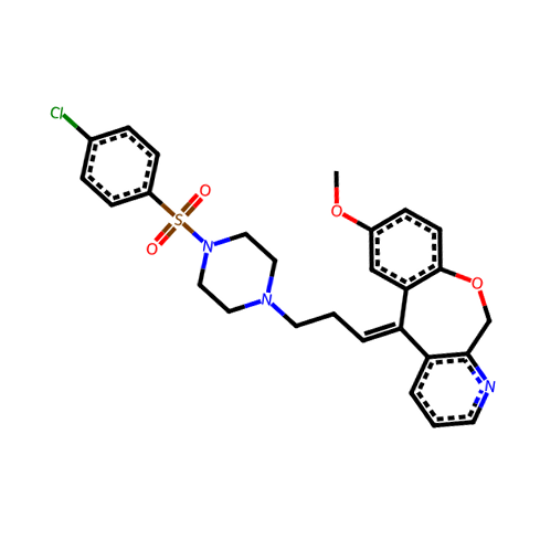 COc1ccc2c(c1)C(=CCCN1CCN(S(=O)(=O)c3ccc(Cl)cc3)CC1)c1cccnc1CO2